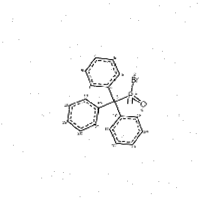 O=[PH](Br)C(c1ccccc1)(c1ccccc1)c1ccccc1